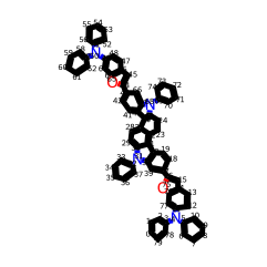 c1ccc(N(c2ccccc2)c2ccc3cc(-c4ccc5c6c7ccc8c(c7ccc6n(-c6ccccc6)c5c4)c4ccc(-c5cc6ccc(N(c7ccccc7)c7ccccc7)cc6o5)cc4n8-c4ccccc4)oc3c2)cc1